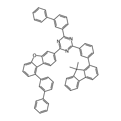 CC1(C)c2ccccc2-c2cccc(-c3cccc(-c4nc(-c5cccc(-c6ccccc6)c5)nc(-c5ccc6c(c5)oc5cccc(-c7cccc(-c8ccccc8)c7)c56)n4)c3)c21